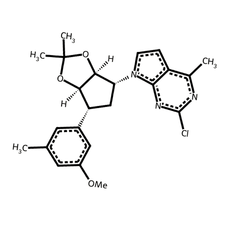 COc1cc(C)cc([C@H]2C[C@@H](n3ccc4c(C)nc(Cl)nc43)[C@@H]3OC(C)(C)O[C@@H]32)c1